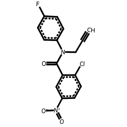 C#CCN(C(=O)c1cc([N+](=O)[O-])ccc1Cl)c1ccc(F)cc1